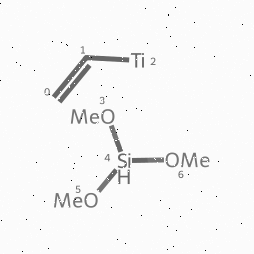 C=[CH][Ti].CO[SiH](OC)OC